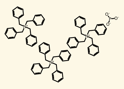 [O-]P([O-])[O-].c1ccc(C[N+](Cc2ccccc2)(Cc2ccccc2)Cc2ccccc2)cc1.c1ccc(C[N+](Cc2ccccc2)(Cc2ccccc2)Cc2ccccc2)cc1.c1ccc(C[N+](Cc2ccccc2)(Cc2ccccc2)Cc2ccccc2)cc1